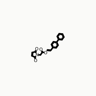 O=C(CN1C(=O)C=CC1=O)OC=Cc1ccc(-c2ccccc2)cc1